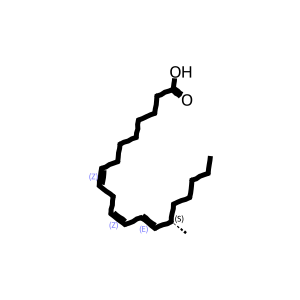 CCCCC[C@H](C)/C=C/C=C\C/C=C\CCCCCCC(=O)O